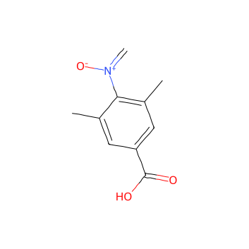 C=[N+]([O-])c1c(C)cc(C(=O)O)cc1C